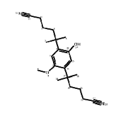 COc1cc(C(C)(C)CCCC#N)c(O)cc1C(C)(C)CCCC#N